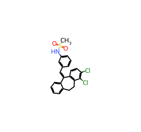 CS(=O)(=O)Nc1cccc(C=C2c3ccccc3CCc3c2ccc(Cl)c3Cl)c1